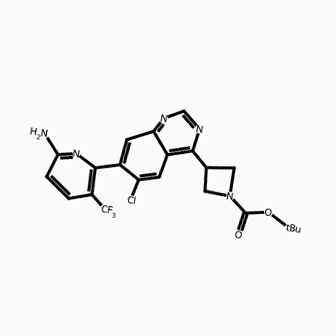 CC(C)(C)OC(=O)N1CC(c2ncnc3cc(-c4nc(N)ccc4C(F)(F)F)c(Cl)cc23)C1